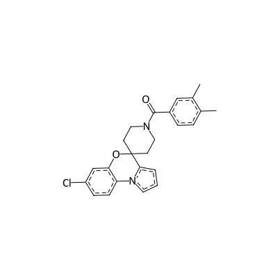 Cc1ccc(C(=O)N2CCC3(CC2)Oc2cc(Cl)ccc2-n2cccc23)cc1C